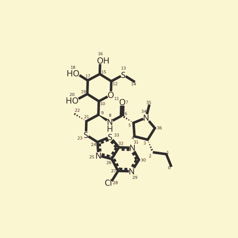 CCC[C@@H]1C[C@H](C(=O)N[C@H](C2OC(SC)C(O)C(O)C2O)[C@@H](C)Sc2nc3c(Cl)ncnc3s2)N(C)C1